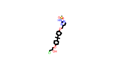 CC(C)(c1ccc(OCc2ccnc(NS(C)(=O)=O)n2)cc1)c1ccc(OCC(O)CCl)cc1